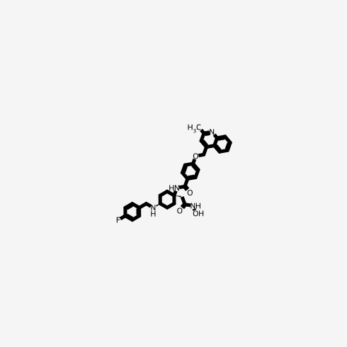 Cc1cc(COc2ccc(C(=O)N[C@]3(CC(=O)NO)CC[C@@H](NCc4ccc(F)cc4)CC3)cc2)c2ccccc2n1